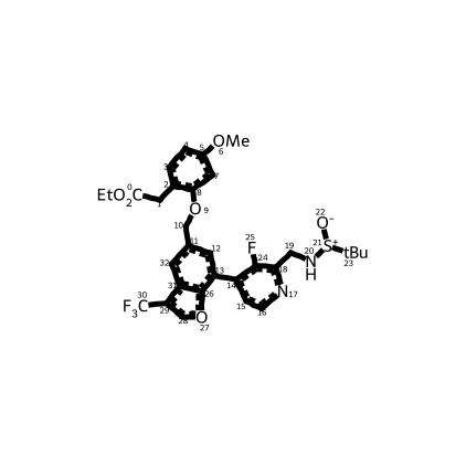 CCOC(=O)Cc1ccc(OC)cc1OCc1cc(-c2ccnc(CN[S+]([O-])C(C)(C)C)c2F)c2occ(C(F)(F)F)c2c1